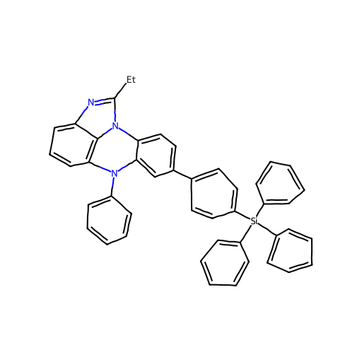 CCc1nc2cccc3c2n1-c1ccc(-c2ccc([Si](c4ccccc4)(c4ccccc4)c4ccccc4)cc2)cc1N3c1ccccc1